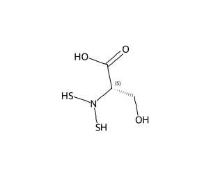 O=C(O)[C@H](CO)N(S)S